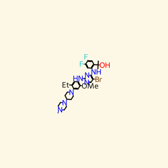 CCc1cc(Nc2ncc(Br)c(Nc3cc(F)c(F)cc3C(C)(C)O)n2)c(OC)cc1N1CCC(N2CCN(C)CC2)CC1